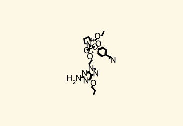 CCCOc1nc(N)nc2c1ncn2CCOCP(=O)(Oc1ccc(C#N)cc1)N1CCC[C@H]1C(=O)OCC